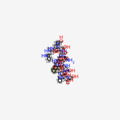 CCCC[C@@H](C(=O)N1C[C@H](O)C[C@@H]1C(=O)N[C@@H](CC(=O)O)C(=O)N[C@H](C(=O)N(C)[C@@H](Cc1ccccc1)C(=O)N[C@@H](CC(=O)O)C(O)N1CC[C@@H](O)C1)C(C)C)N(C)C(=O)[C@H](Cc1ccccc1)N(C)C(=O)[C@H](Cc1cc(F)c(F)c(F)c1)NC(=O)CSC[C@H](NC(=O)[C@H](CC(=O)O)NC(=O)[C@H](Cc1ccc(O)cc1)NC(=O)[C@H](Cc1c[nH]c2ccccc12)NC)C(=O)NCC(N)=O